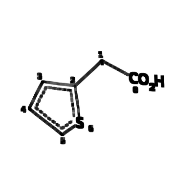 O=C(O)[CH]c1cccs1